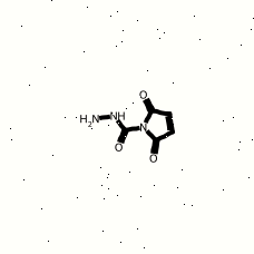 NNC(=O)N1C(=O)C=CC1=O